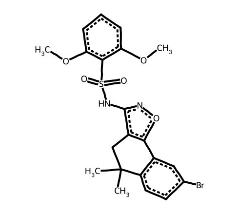 COc1cccc(OC)c1S(=O)(=O)Nc1noc2c1CC(C)(C)c1ccc(Br)cc1-2